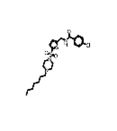 CCCCCCCN1CCN(S(=O)(=O)c2ccc(CNC(=O)c3ccc(Cl)cc3)s2)CC1